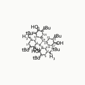 Cc1cc(C(c2cc(C)cc(C(C)(C)C)c2O)C(c2cc(C(C)(C)C)c(O)c(C(C)(C)C)c2)c2cc(C(C)(C)C)c(O)c(C(C)(C)C)c2)c(O)c(C(C)(C)C)c1